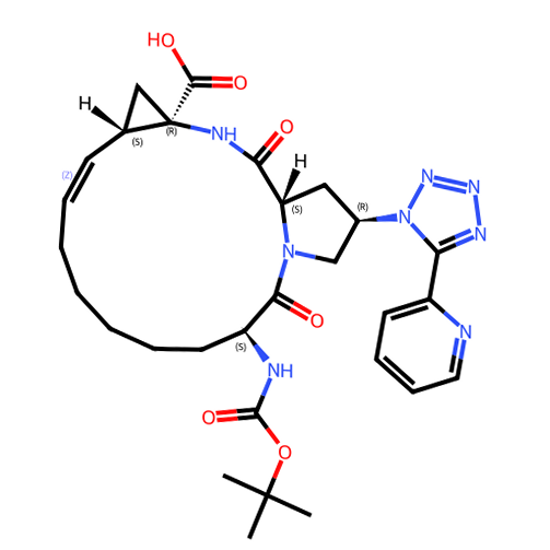 CC(C)(C)OC(=O)N[C@H]1CCCCC/C=C\[C@@H]2C[C@@]2(C(=O)O)NC(=O)[C@@H]2C[C@@H](n3nnnc3-c3ccccn3)CN2C1=O